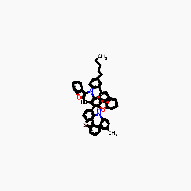 CCCCCc1ccc(N2c3cc4c(oc5ccccc54)c(-c4ccc5sc6ccccc6c5c4Nc4ccc(C)cc4)c3Bc3oc4ccccc4c32)c(-c2ccccc2)c1